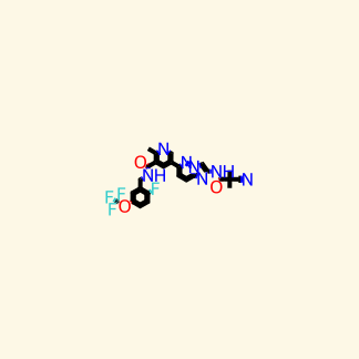 Cc1ncc(-c2ccc3nc(NC(=O)C(C)(C)C#N)cn3n2)cc1C(=O)NCc1cc(OC(F)(F)F)ccc1F